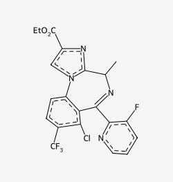 CCOC(=O)c1cn2c(n1)C(C)N=C(c1ncccc1F)c1c-2ccc(C(F)(F)F)c1Cl